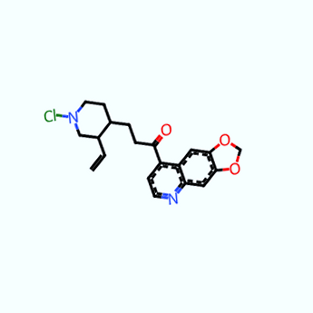 C=CC1CN(Cl)CCC1CCC(=O)c1ccnc2cc3c(cc12)OCO3